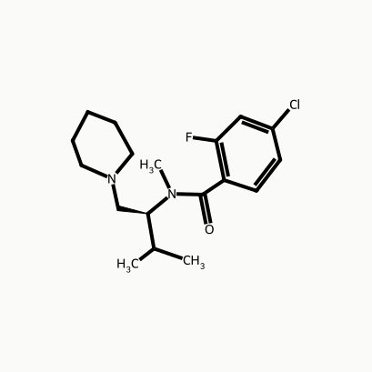 CC(C)[C@@H](CN1CCCCC1)N(C)C(=O)c1ccc(Cl)cc1F